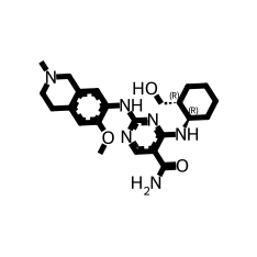 COc1cc2c(cc1Nc1ncc(C(N)=O)c(N[C@@H]3CCCC[C@H]3CO)n1)CN(C)CC2